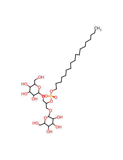 CCCCCCCCCCCCCCCCCCOP(=O)(O)OC(COC1OC(CO)C(O)C(O)C1O)COC1OC(CO)C(O)C(O)C1O